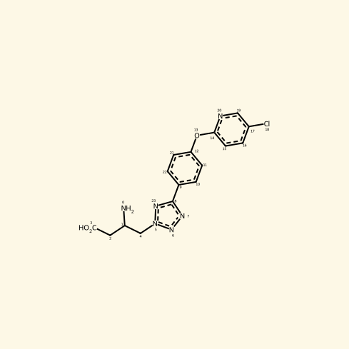 NC(CC(=O)O)Cn1nnc(-c2ccc(Oc3ccc(Cl)cn3)cc2)n1